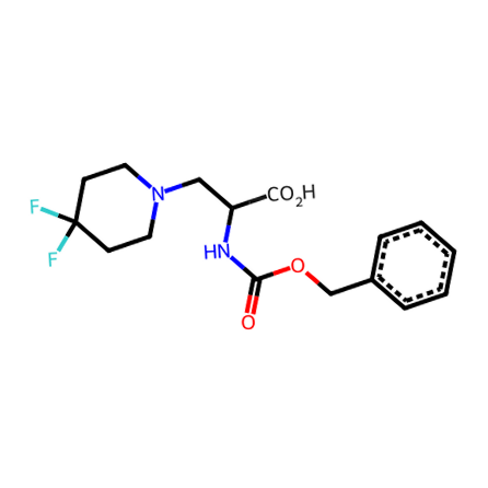 O=C(NC(CN1CCC(F)(F)CC1)C(=O)O)OCc1ccccc1